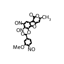 COc1cc(C(=O)Oc2c(N=O)c(N=O)cc3c2oc2cc(C)oc(=O)c23)ccc1N=O